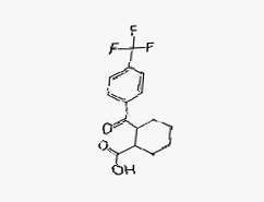 O=C(O)C1CCCCC1C(=O)c1ccc(C(F)(F)F)cc1